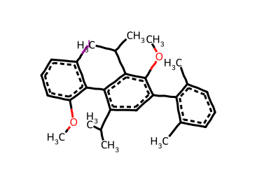 COc1cccc(I)c1-c1c(C(C)C)cc(-c2c(C)cccc2C)c(OC)c1C(C)C